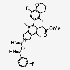 COC(=O)Cc1c(C)c2c(c(C)c1-c1cc(F)c3c(c1C)CCCO3)CN(C(=N)OC(=N)c1cccc(F)c1)C2